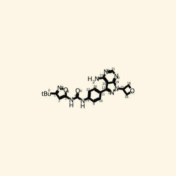 CC(C)(C)c1cc(NC(=O)Nc2ccc(-c3nn(C4COC4)c4ncnc(N)c34)cc2)on1